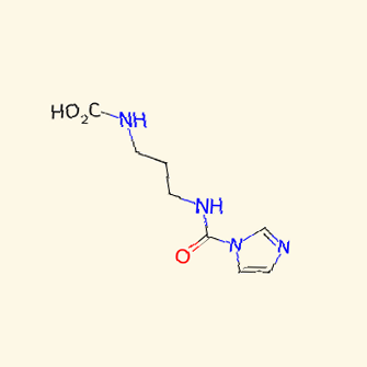 O=C(O)NCCCNC(=O)n1ccnc1